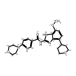 COc1ccc(C2CCOCC2)c2nc(NC(=O)c3ccc(N4CCOCC4)nc3)[nH]c12